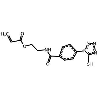 C=CC(=O)OCCNC(=O)c1ccc(-n2nnnc2S)cc1